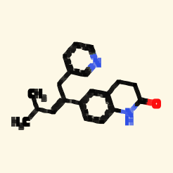 CC(C)C=C(Cc1cccnc1)c1ccc2c(c1)CCC(=O)N2